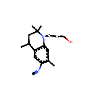 C=Nc1cc2c(cc1C)N(CCCO)C(C)(C)CC2C